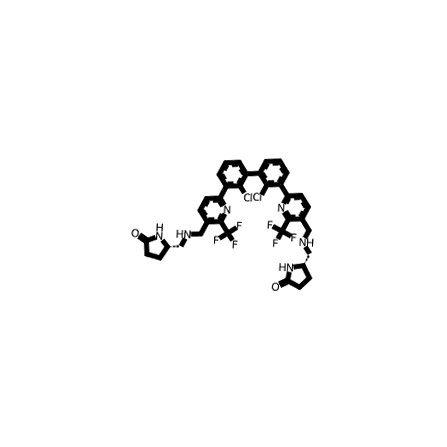 O=C1CC[C@@H](CNCc2ccc(-c3cccc(-c4cccc(-c5ccc(CNC[C@@H]6CCC(=O)N6)c(C(F)(F)F)n5)c4Cl)c3Cl)nc2C(F)(F)F)N1